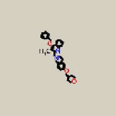 Cc1c(CN2CCc3cc(OCC4CCOCC4)ccc3C2)nc2ccccc2c1OCc1ccccc1